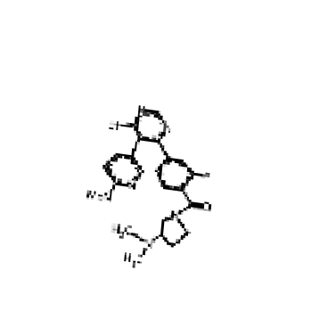 CCc1ncnc(-c2ccc(C(=O)N3CC[C@@H](N(C)C)C3)c(F)c2)c1-c1ccc(NC)nc1